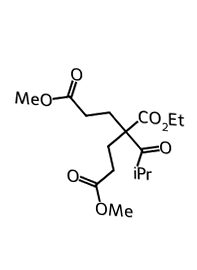 CCOC(=O)C(CCC(=O)OC)(CCC(=O)OC)C(=O)C(C)C